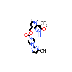 C[C@@H](/C=C/COC(=O)N1CCN(c2nccc(C#N)n2)CC1)N(C)c1cn[nH]c(=O)c1C(F)(F)F